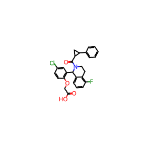 O=C(O)COc1ccc(Cl)cc1C1c2cccc(F)c2CCN1C(=O)C1CC1c1ccccc1